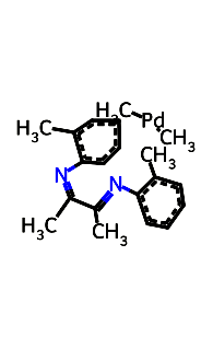 CC(=Nc1ccccc1C)C(C)=Nc1ccccc1C.[CH3][Pd][CH3]